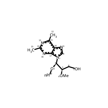 CCCO[C@H]([C@@H](CO)OC)n1cnc2c(C)nc(C)nc21